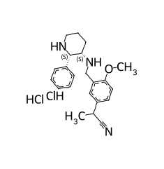 COc1ccc(C(C)C#N)cc1CN[C@H]1CCCN[C@H]1c1ccccc1.Cl.Cl